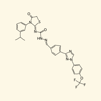 CC(C)c1cccc(N2C(=O)CS/C2=N\C(=O)N/N=C/c2ccc(-c3ncn(-c4ccc(OC(F)(F)F)cc4)n3)cc2)c1